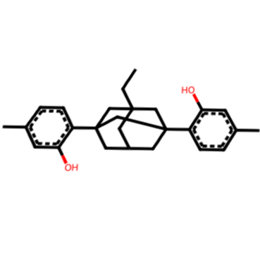 CCC12CC3CC(c4ccc(C)cc4O)(C1)CC(c1ccc(C)cc1O)(C3)C2